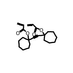 C=CC(=O)OC1(C#CC2(OC(=O)C=C)CCCCCC2)CCCCCC1